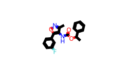 Cc1noc(-c2cccc(F)c2)c1NC(=O)OC(C)c1ccccc1